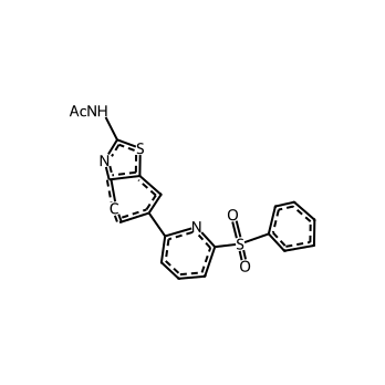 CC(=O)Nc1nc2ccc(-c3cccc(S(=O)(=O)c4ccccc4)n3)cc2s1